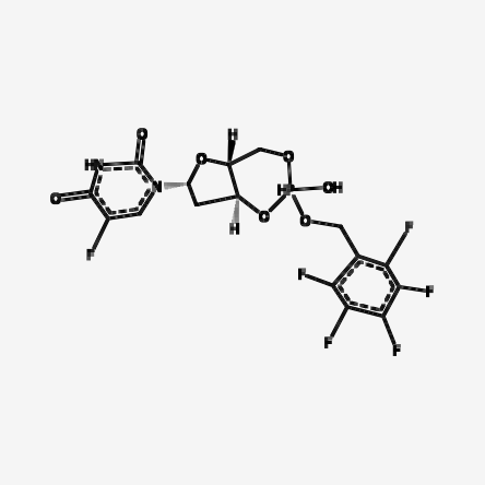 O=c1[nH]c(=O)n([C@H]2C[C@@H]3O[PH](O)(OCc4c(F)c(F)c(F)c(F)c4F)OC[C@H]3O2)cc1F